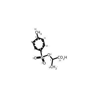 [CH2]C(OS(=O)(=O)c1ccc(C)cc1)C(=O)O